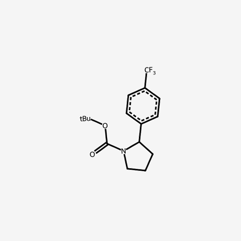 CC(C)(C)OC(=O)N1CCCC1c1ccc(C(F)(F)F)cc1